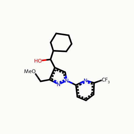 COCc1nn(-c2cccc(C(F)(F)F)n2)cc1C(O)C1CCCCC1